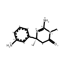 CN1C(=O)C[C@@](C)(c2cccc(N)c2)N=C1N